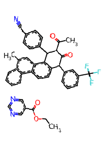 CC(=O)C1C(=O)C(c2cccc(C(F)(F)F)c2)c2ccc3c(cc(C)c4ccccc43)c2C1c1ccc(C#N)cc1.CCOC(=O)c1cncnc1